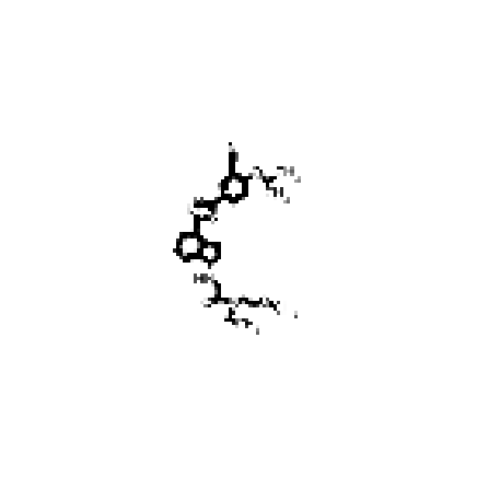 CCN(CCOC)C(=O)CN[C@H]1CCc2c(-c3nnc(-c4ccc(OC(C)C)c(C#N)c4)s3)cccc21